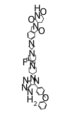 Nc1ncnc2c1c(-c1ccc(Oc3ccccc3)cc1)nn2C1CCN([C@@H]2CCN(C3CN(c4ccc5c(c4)C(=O)N(C4CCC(=O)NC4=O)C5)C3)C[C@@H]2F)CC1